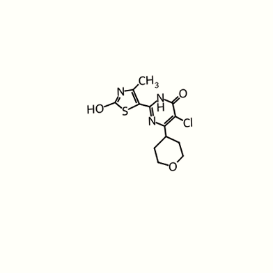 Cc1nc(O)sc1-c1nc(C2CCOCC2)c(Cl)c(=O)[nH]1